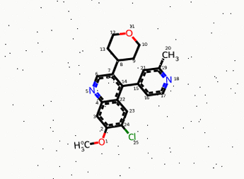 COc1cc2ncc(C3CCOCC3)c(-c3ccnc(C)c3)c2cc1Cl